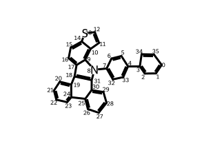 c1ccc(-c2ccc(-n3c4c5ccsc5ccc4c4c5ccccc5c5ccccc5c43)cc2)cc1